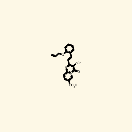 C=CCOc1ccccc1C=Cc1nc2ccc(C(=O)O)cn2c(=O)c1CCC